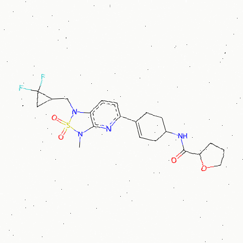 CN1c2nc(C3=CCC(NC(=O)C4CCCO4)CC3)ccc2N(CC2CC2(F)F)S1(=O)=O